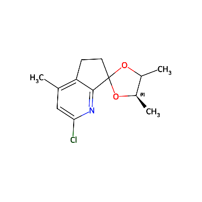 Cc1cc(Cl)nc2c1CCC21OC(C)[C@@H](C)O1